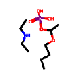 CCCCOC(C)OP(=O)(O)O.CCNCC